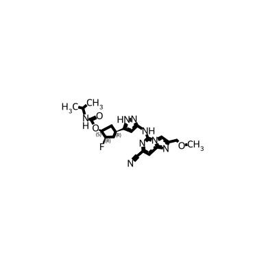 COCc1cn2c(Nc3cc([C@H]4C[C@@H](F)[C@@H](OC(=O)NC(C)C)C4)[nH]n3)nc(C#N)cc2n1